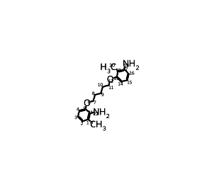 Cc1cccc(OCCCCCOc2cccc(N)c2C)c1N